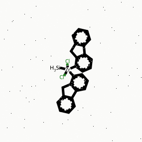 [SiH3][Zr]([Cl])([Cl])([c]1cccc2c1Cc1ccccc1-2)[c]1cccc2c1Cc1ccccc1-2